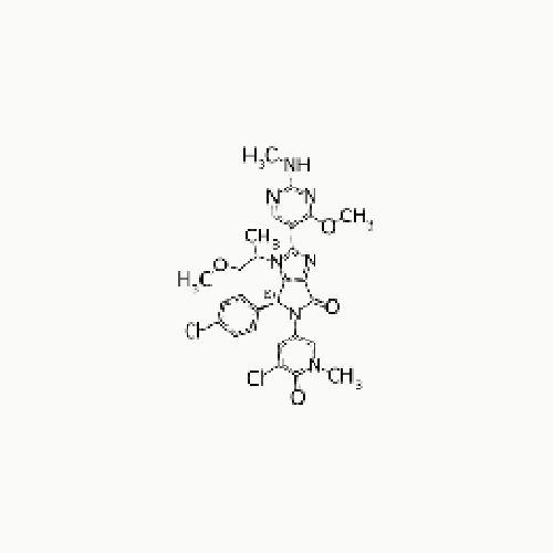 CNc1ncc(-c2nc3c(n2C(C)COC)[C@H](c2ccc(Cl)cc2)N(c2cc(Cl)c(=O)n(C)c2)C3=O)c(OC)n1